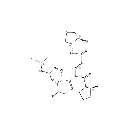 C/C(=N\C(C(=O)N1CCC[C@@H]1C)C(=S)c1cnc(N[C@@H](C)C(F)(F)F)cc1C(F)F)C(=O)N[C@@H]1COC[C@H]1O